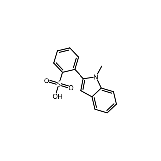 Cn1c(-c2ccccc2S(=O)(=O)O)cc2ccccc21